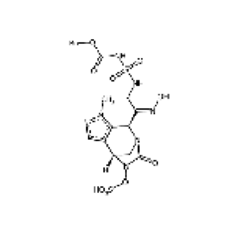 Cn1ncc2c1[C@@H](/C(CNS(=O)(=O)NC(=O)OC(C)(C)C)=N/O)N1C[C@@H]2N(OS(=O)(=O)O)C1=O